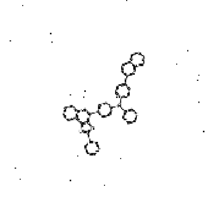 c1ccc(-c2nc3c(-c4ccc(N(c5ccccc5)c5ccc(-c6ccc7ccccc7c6)cc5)cc4)cc4ccccc4c3o2)cc1